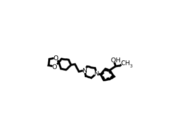 CCC(O)c1cccc(N2CCN(CCC3CCC4(CC3)OCCO4)CC2)c1